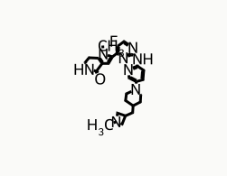 CN1CC(CC2CCN(c3ccc(Nc4ncc(F)c(-c5cc6c(n5C)CCNC6=O)n4)nc3)CC2)C1